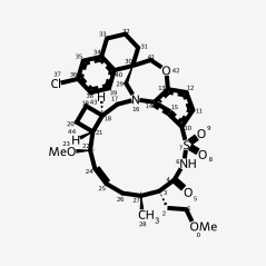 COCC[C@H]1C(=O)NS(=O)(=O)c2ccc3c(c2)N(C[C@@H]2CC[C@H]2[C@H](OC)C=CC[C@@H]1C)C[C@@]1(CCCc2cc(Cl)ccc21)CO3